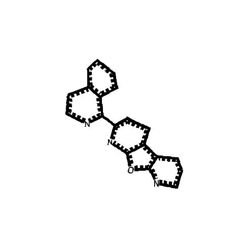 c1ccc2c(-c3ccc4c(n3)oc3ncccc34)nccc2c1